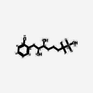 CC(C)(CCC[C@H](O)[C@@H](O)Cc1ccccc1Cl)[Si](C)(C)O